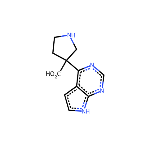 O=C(O)C1(c2ncnc3[nH]ccc23)CCNC1